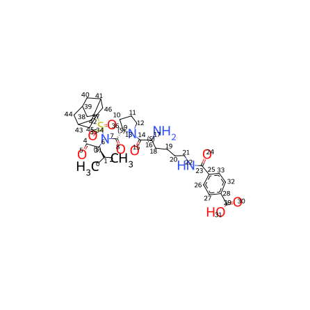 CC(C)[C@@H](C=O)N(C(=O)[C@@H]1CCCN1C(=O)[C@@H](N)CCCCNC(=O)c1ccc(C(=O)O)cc1)S(=O)(=O)C12CC3CC(CC(C3)C1)C2